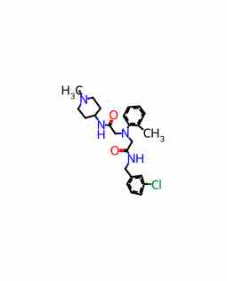 Cc1ccccc1N(CC(=O)NCc1cccc(Cl)c1)CC(=O)NC1CCN(C)CC1